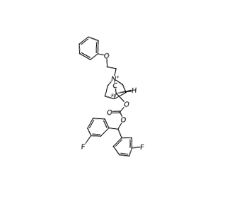 O=C(OC(c1cccc(F)c1)c1cccc(F)c1)O[C@H]1C[N+]2(CCOc3ccccc3)CCC1CC2